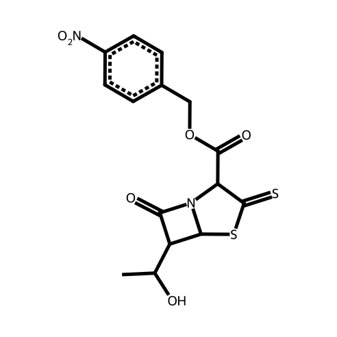 CC(O)C1C(=O)N2C(C(=O)OCc3ccc([N+](=O)[O-])cc3)C(=S)SC12